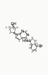 [CH2][C@H]1C[C@@H](n2ccc3c(N[C@H]4CCc5c(Br)cccc54)ncnc32)C[C@@H]1O